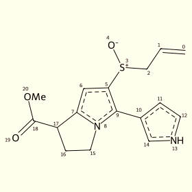 C=CC[S+]([O-])c1cc2n(c1-c1cc[nH]c1)CCC2C(=O)OC